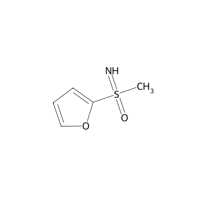 CS(=N)(=O)c1ccco1